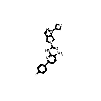 Nc1ccc(-c2ccc(F)cc2)nc1NC(=O)N1Cc2cnn(C3COC3)c2C1